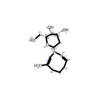 C/C1=C/N([C@H]2C[C@@H](O)[C@@H](O)[C@@H](CO)O2)/N=C\CCC1